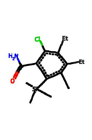 CCc1c(C)c([Si](C)(C)C)c(C(N)=O)c(Cl)c1CC